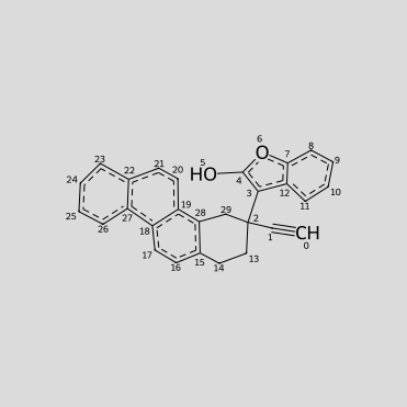 C#CC1(c2c(O)oc3ccccc23)CCc2ccc3c(ccc4ccccc43)c2C1